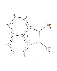 BrC1=C(Br)c2cccc3cccc1c23